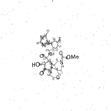 COC(=O)N1CCC2(CC1)COCCn1c2nc(C(=O)NCc2ccc(F)cc2-n2ncnc2C)c(O)c1=O